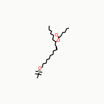 CCCCCCC(C/C=C\CCCCCCCCO[Si](C)(C)C(C)(C)C)OC(=O)CCCCC